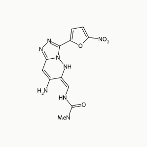 CNC(=O)NC=C1Nn2c(nnc2-c2ccc([N+](=O)[O-])o2)C=C1N